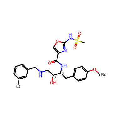 CCCCOc1ccc(C[C@H](NC(=O)c2coc(NS(C)(=O)=O)n2)[C@@H](O)CNCc2cccc(CC)c2)cc1